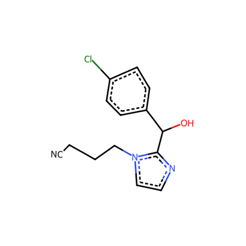 N#CCCCn1ccnc1C(O)c1ccc(Cl)cc1